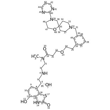 CN(CCNC[C@H](O)c1ccc(O)c2[nH]c(=O)sc12)C(=O)CCOCCc1cccc(CN2CCC3(CC2)CN(c2ncccn2)CCO3)c1